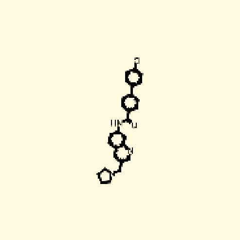 O=C(Nc1ccc2cc(CN3CCCC3)cnc2c1)c1ccc(-c2ccc(Cl)cc2)cc1